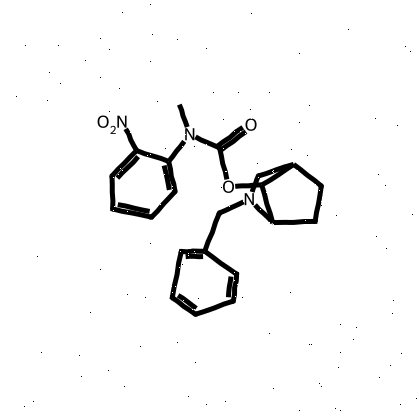 CN(C(=O)OC1C2CCC1N(Cc1ccccc1)C2)c1ccccc1[N+](=O)[O-]